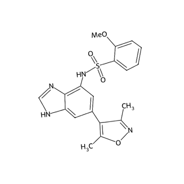 COc1ccccc1S(=O)(=O)Nc1cc(-c2c(C)noc2C)cc2[nH]cnc12